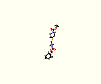 CC(C)(C)OC(=O)N1CC[C@H](OCC2CN(C(=O)OCc3ccccc3)C2)[C@@H](F)C1